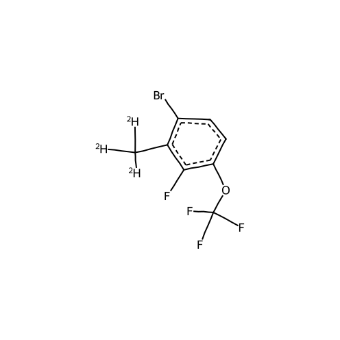 [2H]C([2H])([2H])c1c(Br)ccc(OC(F)(F)F)c1F